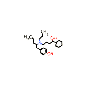 CCCC(Cc1ccc(O)cc1)N(CCC)CCCC(O)C1CCCCC1